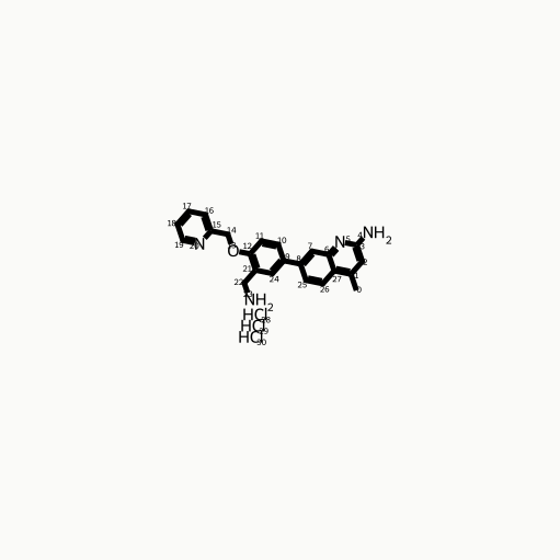 Cc1cc(N)nc2cc(-c3ccc(OCc4ccccn4)c(CN)c3)ccc12.Cl.Cl.Cl